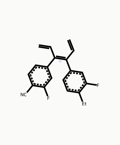 C=C/C(=C(\C=C)c1ccc(CC)c(F)c1)c1ccc(C#N)c(F)c1